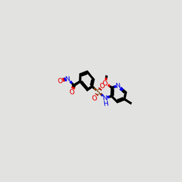 COc1ncc(C)cc1NS(=O)(=O)c1cccc(C(=O)N=O)c1